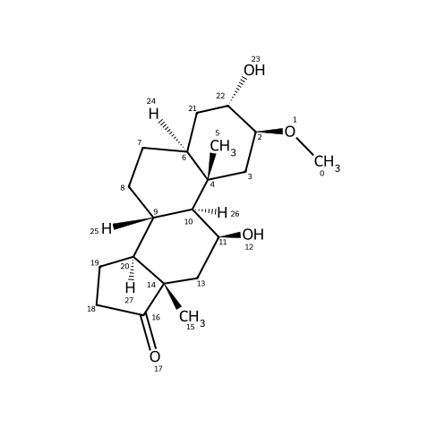 CO[C@H]1C[C@@]2(C)[C@@H](CC[C@@H]3[C@@H]2[C@@H](O)C[C@]2(C)C(=O)CC[C@@H]32)C[C@@H]1O